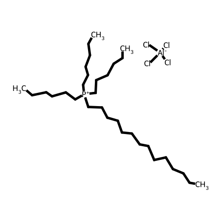 CCCCCCCCCCCCCC[P+](CCCCCC)(CCCCCC)CCCCCC.[Cl][Al-]([Cl])([Cl])[Cl]